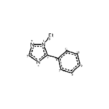 CCn1n[c]nc1-c1ccccc1